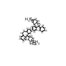 CN1CCC(=C2c3ccccc3CCc3cccnc32)CC1.CN1CCC(OC(c2ccccc2)c2ccccc2)CC1.Cl